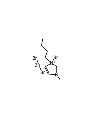 CCCC[N+]1(Br)C=CN(C)C1.[Br][Zn][Br]